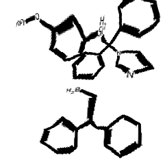 BC=C(c1ccccc1)c1ccccc1.CCCOc1cccc([SiH2]C(c2ccccc2)(c2ccccc2)n2ccnc2)c1